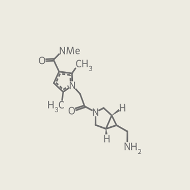 CNC(=O)c1cc(C)n(CC(=O)N2C[C@@H]3C(CN)[C@@H]3C2)c1C